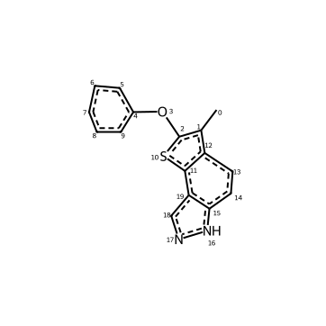 Cc1c(Oc2ccccc2)sc2c1ccc1[nH]ncc12